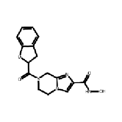 O=C(NO)c1cn2c(n1)CN(C(=O)C1Cc3ccccc3O1)CC2